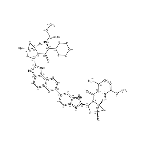 COC(=O)N[C@H](C(=O)N1[C@@H]2C[C@@H]2C[C@H]1c1nc2ccc(-c3ccc4c(ccc5[nH]c([C@@H]6C[C@H]7C[C@H]7N6C(=O)[C@@H](NC(=O)OC)C6CCOCC6)nc54)c3)cc2[nH]1)C(C)C